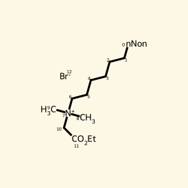 CCCCCCCCCCCCCCC[N+](C)(C)CC(=O)OCC.[Br-]